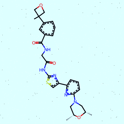 C[C@@H]1CN(c2cccc(-c3csc(NC(=O)CNC(=O)c4cccc(C5(C)COC5)c4)n3)n2)C[C@H](C)O1